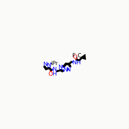 CC(C)n1nccc1C(=O)NCc1cn2ncc(CNC(=O)CC3(C(F)(F)F)CC3)cc2n1